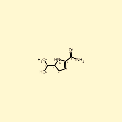 C[C@H](O)C1CC=C(C(N)=O)N1